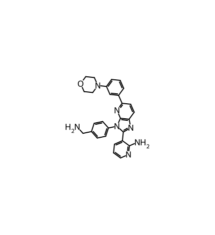 NCc1ccc(-n2c(-c3cccnc3N)nc3ccc(-c4cccc(N5CCOCC5)c4)nc32)cc1